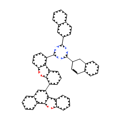 C1=CC(c2nc(-c3ccc4ccccc4c3)nc(-c3cccc4oc5c(-c6cc7ccccc7c7oc8ccccc8c67)cccc5c34)n2)Cc2ccccc21